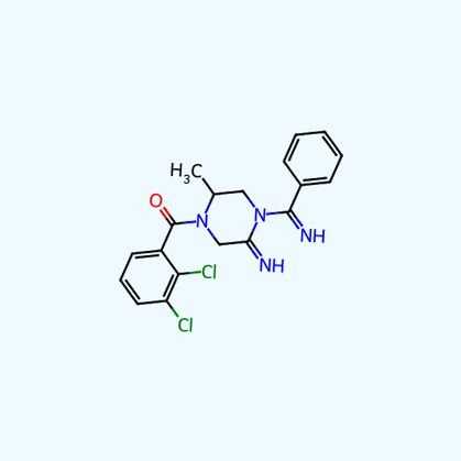 CC1CN(C(=N)c2ccccc2)C(=N)CN1C(=O)c1cccc(Cl)c1Cl